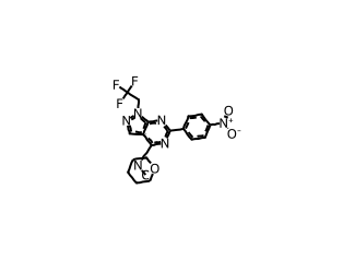 O=[N+]([O-])c1ccc(-c2nc(N3CC4CCC3CO4)c3cnn(CC(F)(F)F)c3n2)cc1